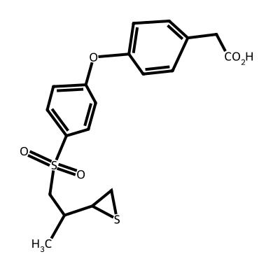 CC(CS(=O)(=O)c1ccc(Oc2ccc(CC(=O)O)cc2)cc1)C1CS1